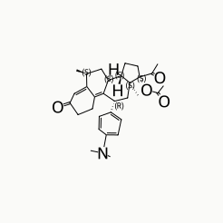 CC(=O)O[C@@]1(C(C)=O)CC[C@H]2[C@@H]3C[C@H](C)C4=CC(=O)CCC4=C3[C@@H](c3ccc(N(C)C)cc3)C[C@@]21C